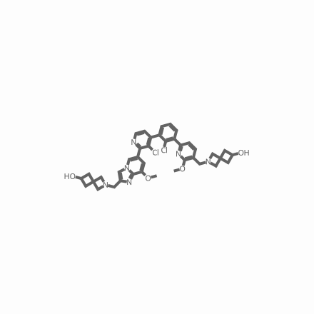 COc1nc(-c2cccc(-c3ccnc(-c4cc(OC)c5nc(CN6CC7(CC(O)C7)C6)cn5c4)c3Cl)c2Cl)ccc1CN1CC2(CC(O)C2)C1